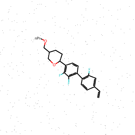 C=Cc1ccc(-c2ccc(C3CCC(COCCC)CO3)c(F)c2F)c(F)c1